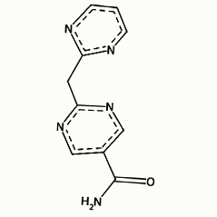 NC(=O)c1cnc(Cc2ncccn2)nc1